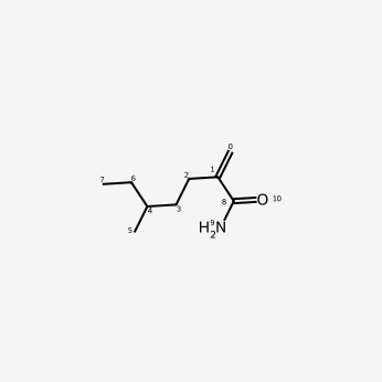 C=C(CCC(C)CC)C(N)=O